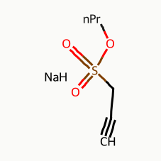 C#CCS(=O)(=O)OCCC.[NaH]